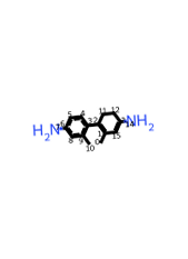 CC1=C(c2ccc(N)cc2C)CCC(N)=C1